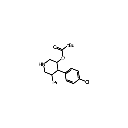 CC(C)C1CNCC(OC(=O)C(C)(C)C)C1c1ccc(Cl)cc1